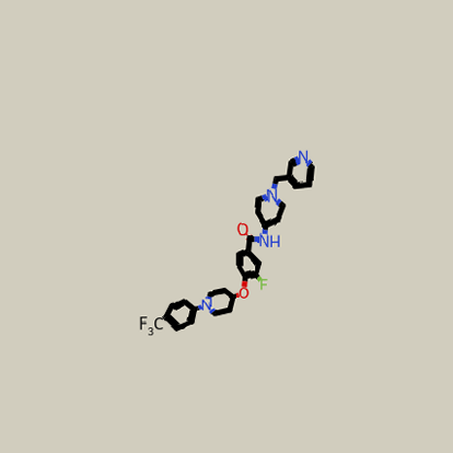 O=C(NC1CCN(Cc2cccnc2)CC1)c1ccc(OC2CCN(c3ccc(C(F)(F)F)cc3)CC2)c(F)c1